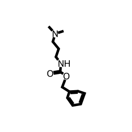 CN(C)CCCNC(=O)OCc1ccccc1